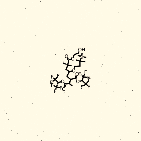 CC(C(=O)OC(C(F)(F)F)C(F)(F)F)C(CC(CC(C)(C)C(=O)OCCO)OCCC(C)(C)[Si](C)(C)C)C(=O)OC(C(F)(F)F)C(F)(F)F